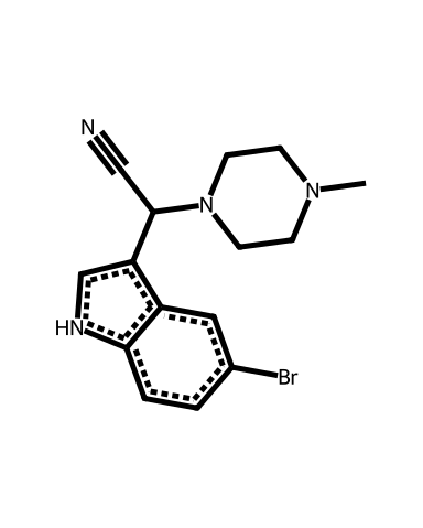 CN1CCN(C(C#N)c2c[nH]c3ccc(Br)cc23)CC1